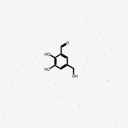 O=Cc1cc(CO)cc(O)c1O